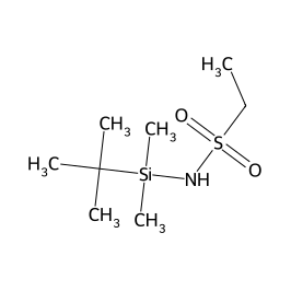 CCS(=O)(=O)N[Si](C)(C)C(C)(C)C